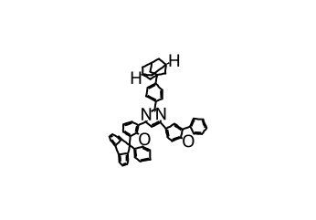 c1ccc2c(c1)Oc1c(-c3cc(-c4ccc5oc6ccccc6c5c4)nc(-c4ccc(C56CC7C[C@H](C5)C[C@@H](C7)C6)cc4)n3)cccc1C21c2ccccc2-c2ccccc21